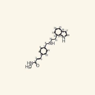 O=C(/C=C/c1ccc(CNCCc2cccc3cc[nH]c23)cc1)NO